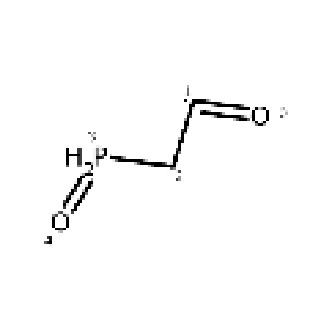 O=[C]C[PH2]=O